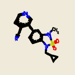 CN1c2cc(-c3cnccc3C#N)ccc2N(CC2CC2)S1(=O)=O